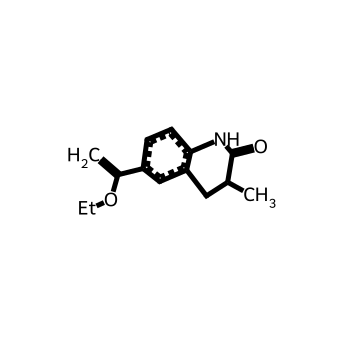 C=C(OCC)c1ccc2c(c1)CC(C)C(=O)N2